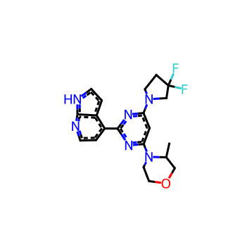 CC1COCCN1c1cc(N2CCC(F)(F)C2)nc(-c2ccnc3[nH]ccc23)n1